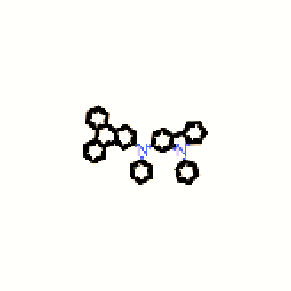 c1ccc(N(c2ccc3c4ccccc4c4ccccc4c3c2)c2ccc3c4ccccc4n(-c4ccccc4)c3c2)cc1